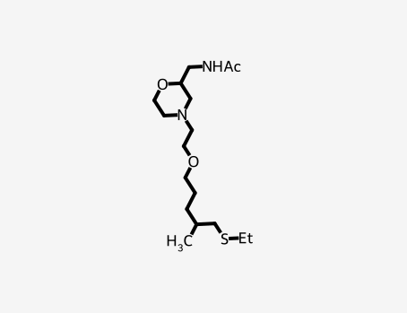 CCSCC(C)CCCOCCN1CCOC(CNC(C)=O)C1